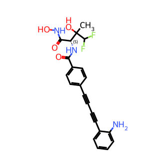 CC(O)(C(F)F)[C@H](NC(=O)c1ccc(C#CC#Cc2ccccc2N)cc1)C(=O)NO